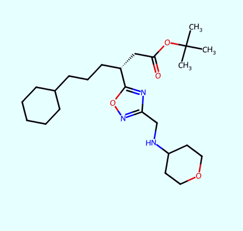 CC(C)(C)OC(=O)C[C@@H](CCCC1CCCCC1)c1nc(CNC2CCOCC2)no1